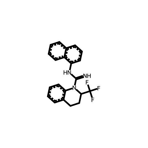 N=C(Nc1cccc2ccccc12)N1c2ccccc2CCC1C(F)(F)F